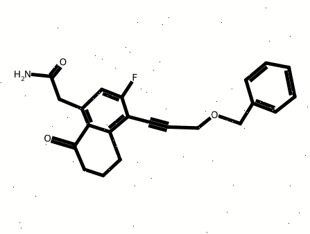 NC(=O)Cc1cc(F)c(C#CCOCc2ccccc2)c2c1C(=O)CCC2